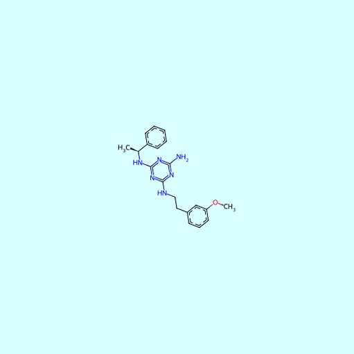 COc1cccc(CCNc2nc(N)nc(N[C@@H](C)c3ccccc3)n2)c1